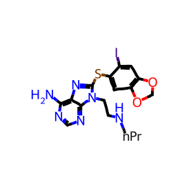 CCCNCCn1c(Sc2cc3c(cc2I)OCO3)nc2c(N)ncnc21